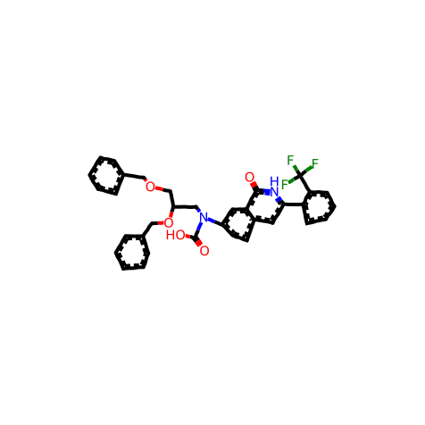 O=C(O)N(CC(COCc1ccccc1)OCc1ccccc1)c1ccc2cc(-c3ccccc3C(F)(F)F)[nH]c(=O)c2c1